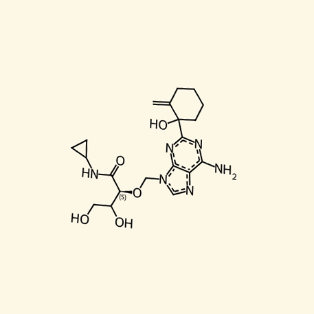 C=C1CCCCC1(O)c1nc(N)c2ncn(CO[C@H](C(=O)NC3CC3)C(O)CO)c2n1